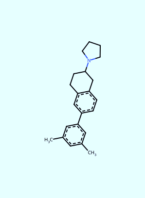 Cc1cc(C)cc(-c2ccc3c(c2)CCC(N2CCCC2)C3)c1